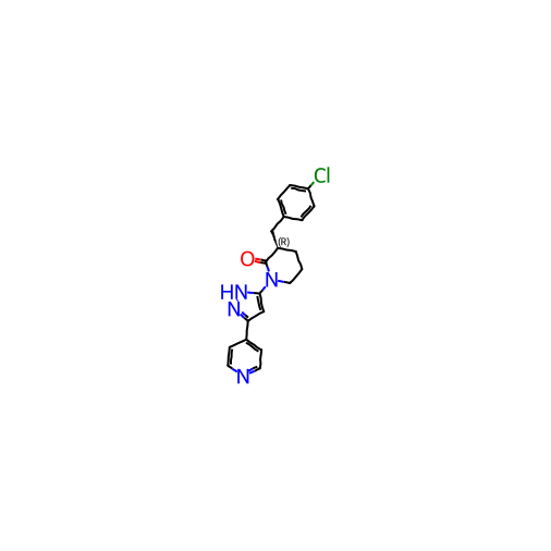 O=C1[C@@H](Cc2ccc(Cl)cc2)CCCN1c1cc(-c2ccncc2)n[nH]1